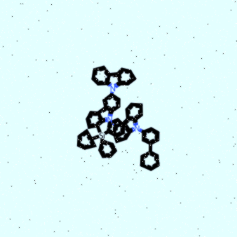 c1ccc(-c2cccc(-n3c4ccccc4c4c(-n5c6ccc(-n7c8ccccc8c8ccccc87)cc6c6cccc([Si](c7ccccc7)(c7ccccc7)c7ccccc7)c65)cccc43)c2)cc1